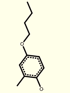 CCCCOc1ccc([O])c(C)c1